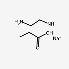 CCC(=O)O.[NH-]CCN.[Na+]